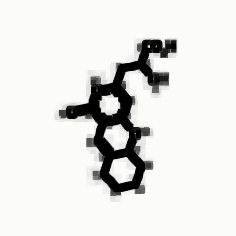 O=C(O)C(O)Cc1cc2c(c(=O)o1)C=C1CCCCC1O2